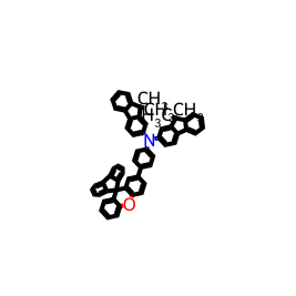 CC1(C)c2ccccc2-c2ccc(N(c3ccc(-c4ccc5c(c4)C4(c6ccccc6O5)c5ccccc5-c5ccccc54)cc3)c3ccc4c(c3)C(C)(C)c3ccccc3-4)cc21